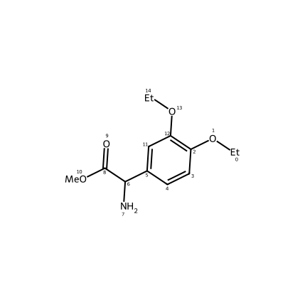 CCOc1ccc(C(N)C(=O)OC)cc1OCC